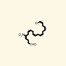 CC/C=C\C/C=C\C/C=C\C/C=C\C/C=C\C/C(=C\CC[C]=O)[N+](=O)[O-]